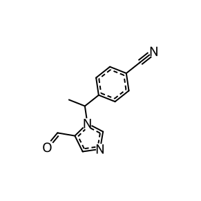 CC(c1ccc(C#N)cc1)n1cncc1C=O